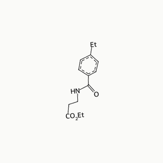 CCOC(=O)CCNC(=O)c1ccc(CC)cc1